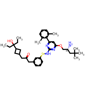 CCC(O)(CC)C1CC(CC(=O)Cc2cccc(SNc3nc(OC[C@H](N)CC(C)(C)C)cc(-c4c(C)cccc4C)n3)c2)C1